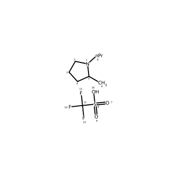 CCCN1CCCC1C.O=S(=O)(O)C(F)(F)F